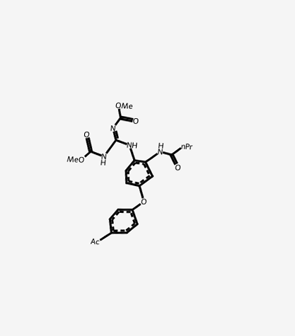 CCCC(=O)Nc1cc(Oc2ccc(C(C)=O)cc2)ccc1NC(=NC(=O)OC)NC(=O)OC